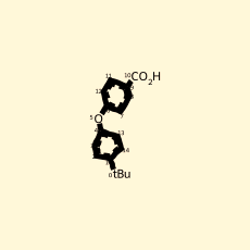 CC(C)(C)c1ccc(Oc2ccc(C(=O)O)cc2)cc1